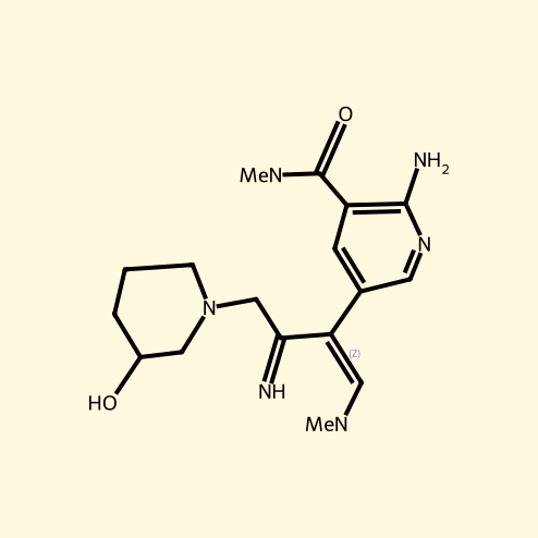 CN/C=C(\C(=N)CN1CCCC(O)C1)c1cnc(N)c(C(=O)NC)c1